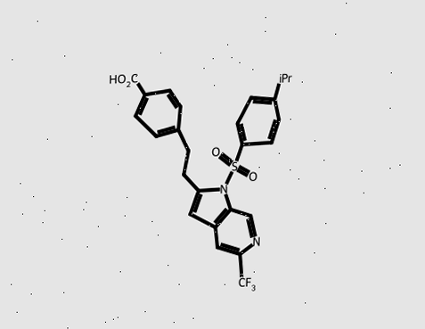 CC(C)c1ccc(S(=O)(=O)n2c(CCc3ccc(C(=O)O)cc3)cc3cc(C(F)(F)F)ncc32)cc1